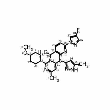 CO[C@H]1CC[C@@H](C2N=C(C)C=C(Nc3cc(C)[nH]n3)N2[C@@H](C)c2ccc(-n3cc(F)cn3)nc2)CC1